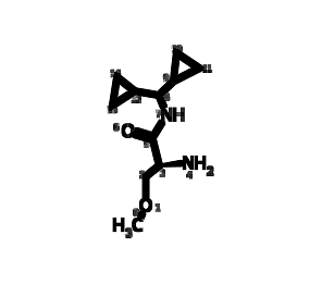 COC[C@H](N)C(=O)NC(C1CC1)C1CC1